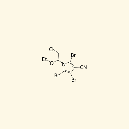 CCOC(CCl)n1c(Br)c(Br)c(C#N)c1Br